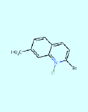 CCc1ccc2ccc(C(=O)O)cc2[n+]1Cl